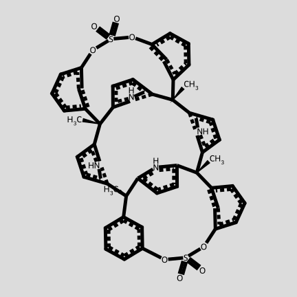 C[C@]12c3cccc(c3)OS(=O)(=O)Oc3cccc(c3)[C@](C)(c3ccc1[nH]3)c1ccc([nH]1)[C@@]1(C)c3cccc(c3)OS(=O)(=O)Oc3cccc(c3)[C@](C)(c3ccc1[nH]3)c1ccc2[nH]1